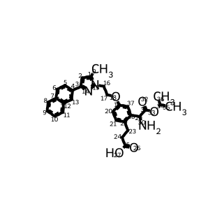 Cc1cc(-c2ccc3ccccc3c2)nn1CCOc1ccc(CCC(=O)O)c(C(N)C(=O)OC(C)C)c1